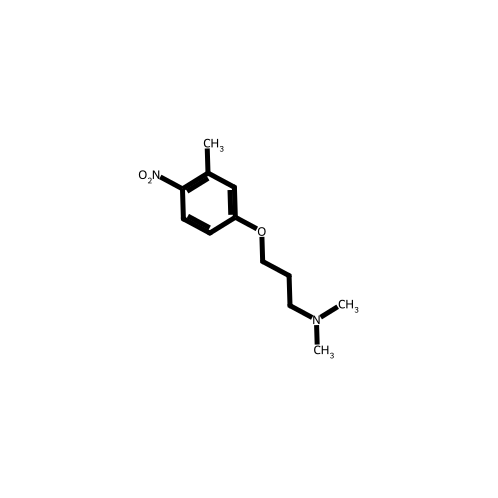 Cc1cc(OCCCN(C)C)ccc1[N+](=O)[O-]